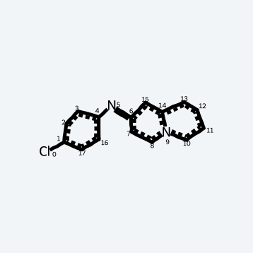 Clc1ccc(/N=c2\ccn3ccccc3c2)cc1